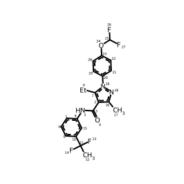 CCc1c(C(=O)Nc2cccc(C(C)(F)F)c2)c(C)nn1-c1ccc(OC(F)F)cc1